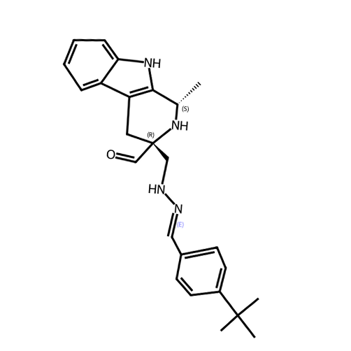 C[C@@H]1N[C@@](C=O)(CN/N=C/c2ccc(C(C)(C)C)cc2)Cc2c1[nH]c1ccccc21